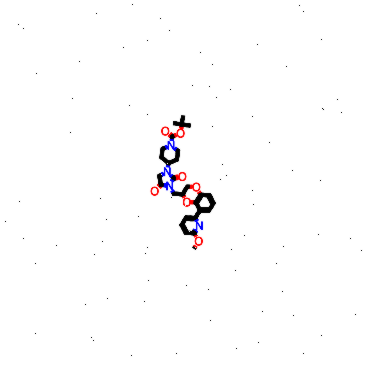 COc1cccc(-c2cccc3c2OC(CN2C(=O)CN(C4CCN(C(=O)OC(C)(C)C)CC4)C2=O)CO3)n1